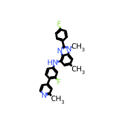 Cc1cc(Nc2ccc(-c3ccnc(C)c3)c(F)c2)c2nc(-c3ccc(F)cc3)n(C)c2c1